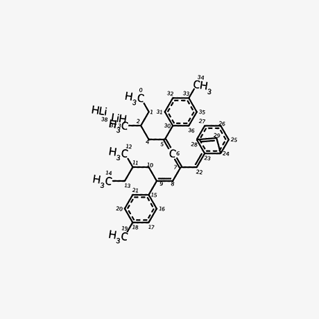 CCC(C)CC(=C=C(C=C(CC(C)CC)c1ccc(C)cc1)C=c1c2cccc1=C2)c1ccc(C)cc1.[LiH].[LiH]